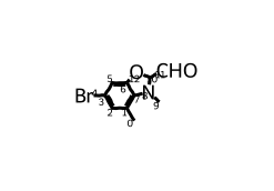 Cc1cc(Br)cc2c1N(C)C(C=O)O2